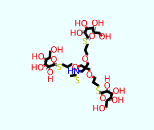 CC(=S)NCC(COCCCS[C@H]1OC(CO)[C@@H](O)C(O)[C@H]1O)(COCCCS[C@H]1OC(CO)[C@@H](O)C(O)[C@H]1O)COCCCS[C@H]1OC(CO)[C@@H](O)C(O)[C@H]1O